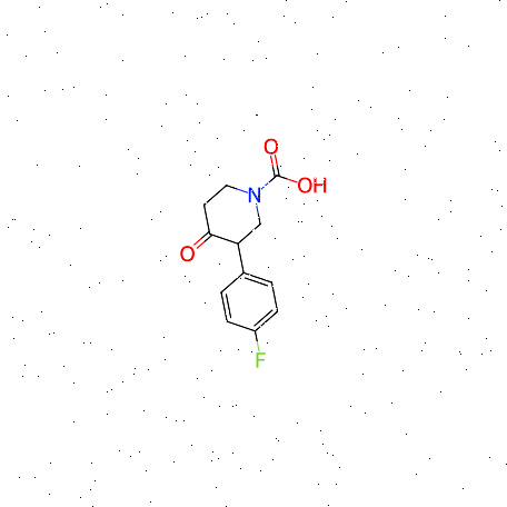 O=C1CCN(C(=O)O)CC1c1ccc(F)cc1